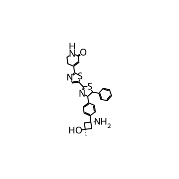 C[C@]1(O)C[C@@](N)(c2ccc(C3N=C(c4cnc(C5=CC(=O)NCC5)s4)SC3c3ccccc3)cc2)C1